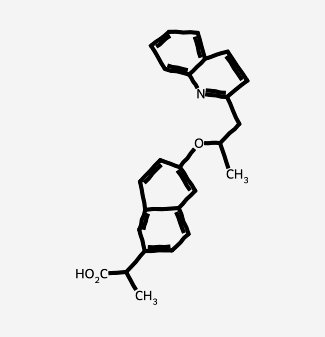 CC(Cc1ccc2ccccc2n1)Oc1ccc2cc(C(C)C(=O)O)ccc2c1